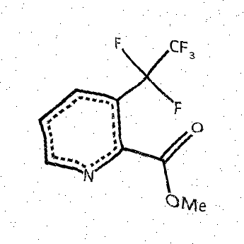 COC(=O)c1ncccc1C(F)(F)C(F)(F)F